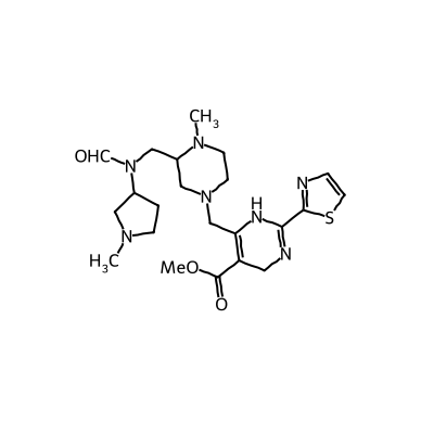 COC(=O)C1=C(CN2CCN(C)C(CN(C=O)C3CCN(C)C3)C2)NC(c2nccs2)=NC1